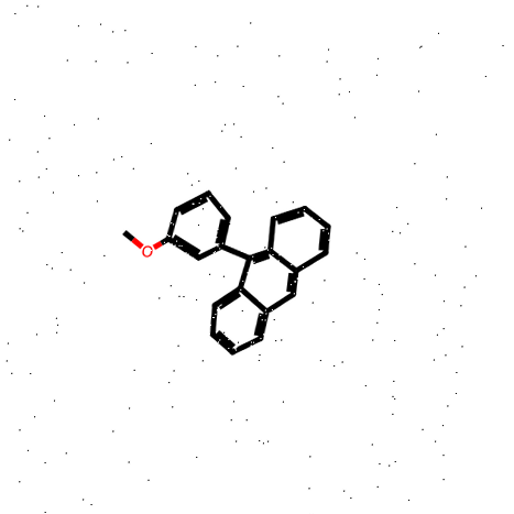 COc1cccc(-c2c3ccccc3cc3ccccc23)c1